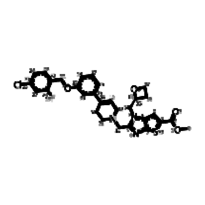 COC(=O)c1cc2c(nc(CN3CC=C(c4cccc(OCc5ccc(Cl)cc5F)c4)CC3)n2C[C@@H]2CCO2)s1